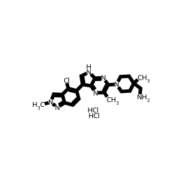 Cc1nc2c(-c3ccc4nn(C)cc4c3Cl)c[nH]c2nc1N1CCC(C)(CN)CC1.Cl.Cl